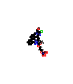 CCCCc1nc(Cl)c(C=O)n1Cc1ccc(-c2ccccc2-c2nnn(C(=O)OCCCON(O)O)n2)cc1